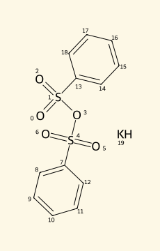 O=S(=O)(OS(=O)(=O)c1ccccc1)c1ccccc1.[KH]